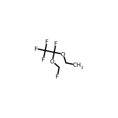 CCOC(F)(OCF)C(F)(F)F